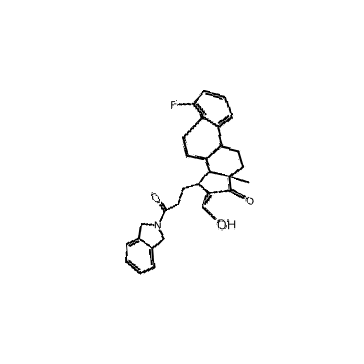 CC12CCC3c4cccc(F)c4CCC3C1C(CCC(=O)N1Cc3ccccc3C1)/C(=C/O)C2=O